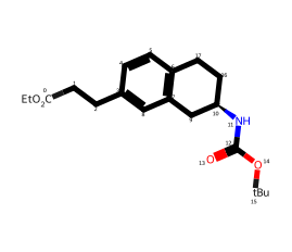 CCOC(=O)CCc1ccc2c(c1)C[C@H](NC(=O)OC(C)(C)C)CC2